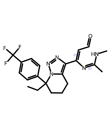 CCC1(c2ccc(C(F)(F)F)cc2)CCCc2c(C(=C/C=O)/N=C(/C)NC)nnn21